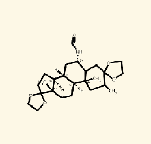 CC1C[C@@]2(C)C(CC13OCCO3)[C@@H](NC=O)C[C@@H]1[C@@H]2CC[C@@]2(C)[C@H]1CCC21OCCO1